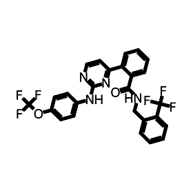 O=C(NCc1ccccc1C(F)(F)F)c1ccccc1-c1ccnc(Nc2ccc(OC(F)(F)F)cc2)n1